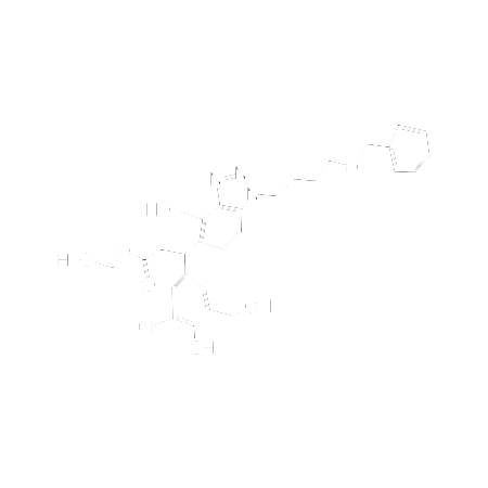 CCOC(=O)CC(c1cc(Cl)c(C)c(CO)c1)c1ccc2c(nnn2CCCCOCc2ccccc2)c1C